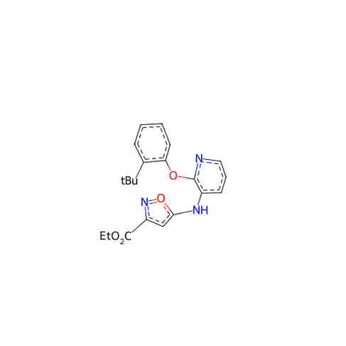 CCOC(=O)c1cc(Nc2cccnc2Oc2ccccc2C(C)(C)C)on1